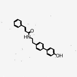 O=C(C=Cc1ccccc1)NCCc1ccc(-c2ccc(O)cc2)cc1